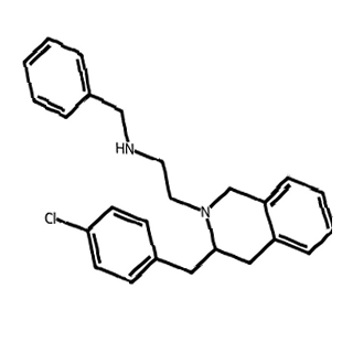 Clc1ccc(CC2Cc3ccccc3CN2CCNCc2ccccc2)cc1